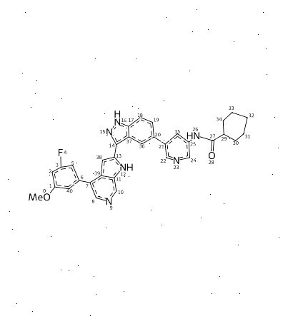 COc1cc(F)cc(-c2cncc3[nH]c(-c4n[nH]c5ccc(-c6cncc(NC(=O)C7CCCCC7)c6)cc45)cc23)c1